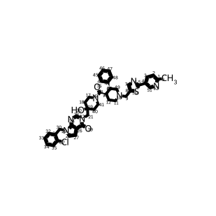 Cc1ccc(-c2ncc(CN3CC[C@@H](C(=O)N4CCC(O)(Cn5cnc6c(ccn6Cc6ccccc6Cl)c5=O)CC4)[C@H](c4ccccc4)C3)s2)cn1